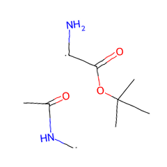 CC(C)(C)OC(=O)[CH]N.[CH2]NC(C)=O